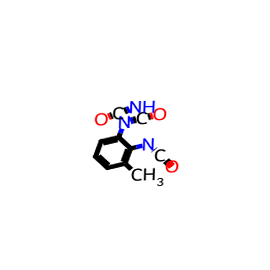 Cc1cccc(N=C=O)c1N=C=O.N=C=O